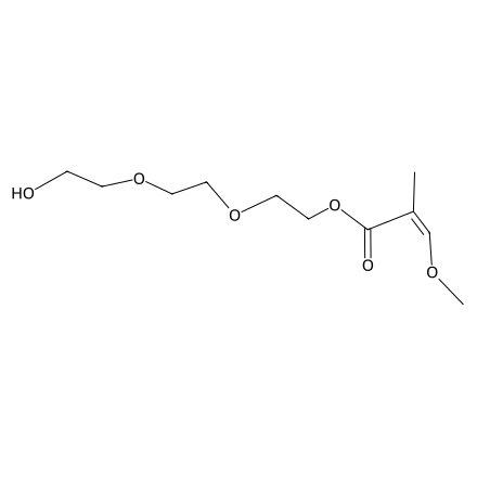 COC=C(C)C(=O)OCCOCCOCCO